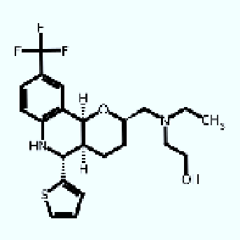 CCN(CCO)C[C@H]1CC[C@@H]2[C@H](O1)c1cc(C(F)(F)F)ccc1N[C@H]2c1cccs1